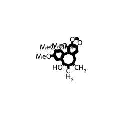 COc1cc2c(c(OC)c1OC)-c1c(cc3c(c1OC)OCO3)CC(C)C(C)C2O